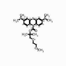 COCCOCC(C)(C)OC(=O)N1c2ccc(N(C)C)cc2Sc2cc(N(C)C)ccc21